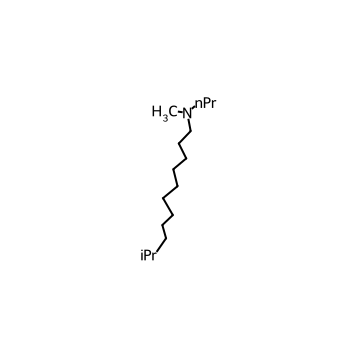 CCCN(C)CCCCCCCCCC(C)C